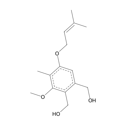 COc1c(C)c(OCC=C(C)C)cc(CO)c1CO